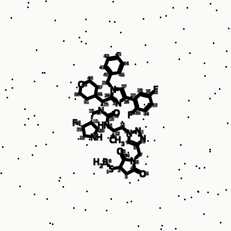 BSC1CC(=O)N(Cc2cn(C[C@H](C)NC(=O)N(C[C@@H]3CNC[C@@H]3F)[C@@H](c3nc(-c4cc(F)ccc4F)cn3Cc3ccccc3)C3CCOCC3)nn2)C1=O